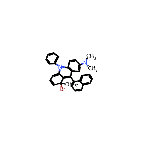 COC1(Br)C=CC=C2C1=C(c1cccc3ccccc13)c1cc(N(C)C)ccc1N2c1ccccc1